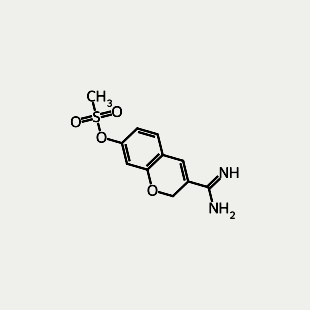 CS(=O)(=O)Oc1ccc2c(c1)OCC(C(=N)N)=C2